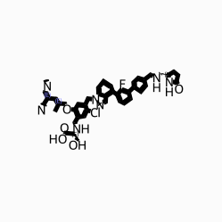 C=N/C=C(C#N)\C=C(/C)COc1cc(Cn2ncc3c(-c4cccc(-c5ccc(CNC[C@@H]6CCC(=O)N6)cc5)c4F)cccc32)c(Cl)cc1CN[C@@H](CO)C(=O)O